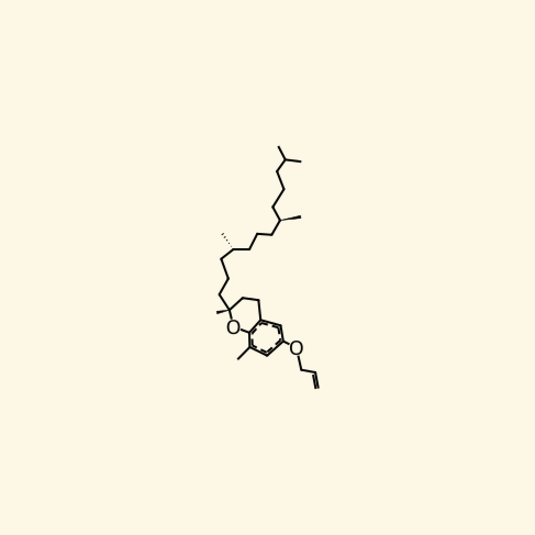 C=CCOc1cc(C)c2c(c1)CC[C@@](C)(CCC[C@H](C)CCC[C@H](C)CCCC(C)C)O2